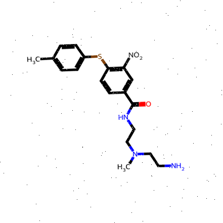 Cc1ccc(Sc2ccc(C(=O)NCCN(C)CCN)cc2[N+](=O)[O-])cc1